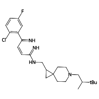 CC(CN1CCC2(CC1)CC2CNC(=N)/C=C\C(=N)c1cc(F)ccc1Cl)C(C)(C)C